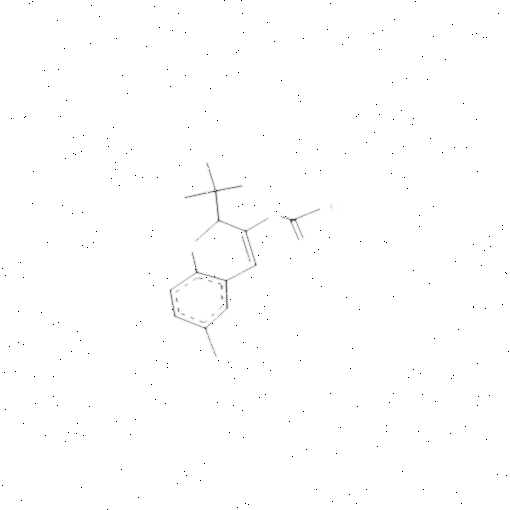 Cc1ccc2c(c1)C=C(OC(=O)O)C(C(F)(F)F)S2